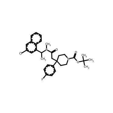 CC(c1cc(Cl)cc2ccccc12)N(C)C(=O)CC1(c2ccc(F)cc2)CCN(C(=O)OC(C)(C)C)CC1